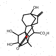 C=C1CC23CC1(O)CCC2C12OC(=O)C(C)(CC(O)C1O)C2C3C(=O)O